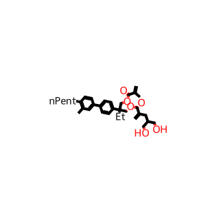 C=C(C)C(=O)OCC(CC)(COC(=O)C(=C)CC(CO)CO)c1ccc(-c2ccc(CCCCC)c(C)c2)cc1